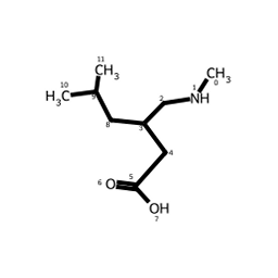 CNCC(CC(=O)O)CC(C)C